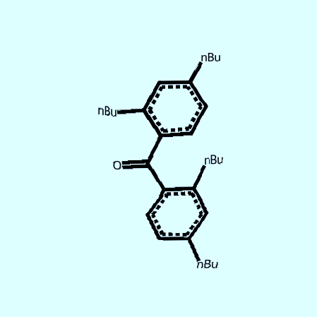 CCCCc1ccc(C(=O)c2ccc(CCCC)cc2CCCC)c(CCCC)c1